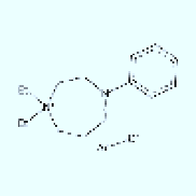 CC(=O)[O-].CC[N+]1(CC)CCCN(c2ccccc2)CC1